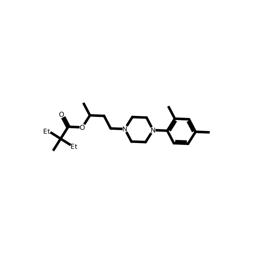 CCC(C)(CC)C(=O)OC(C)CCN1CCN(c2ccc(C)cc2C)CC1